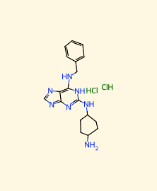 Cl.Cl.NC1CCC(Nc2nc3ncnc-3c(NCc3ccccc3)[nH]2)CC1